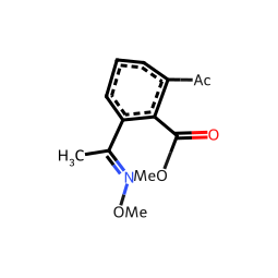 CON=C(C)c1cccc(C(C)=O)c1C(=O)OC